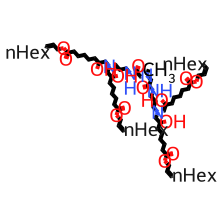 CCCCCC/C=C\COC(=O)CCCCCC(O)CN(CCCNC(=O)CN(C)CC(=O)NCCCN(CC(O)CCCCCC(=O)OC/C=C\CCCCCC)CC(O)CCCCCC(=O)OC/C=C\CCCCCC)CC(O)CCCCCC(=O)OC/C=C\CCCCCC